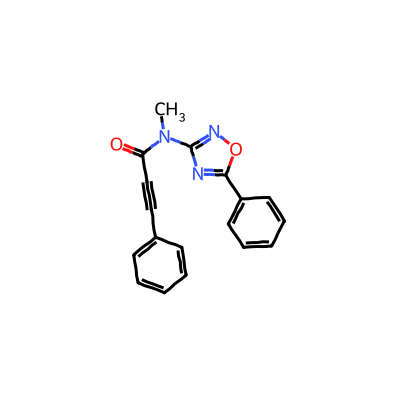 CN(C(=O)C#Cc1ccccc1)c1noc(-c2ccccc2)n1